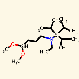 CCN(CCC[SiH](OC)OC)[Si](C(C)C)(C(C)C)C(C)C